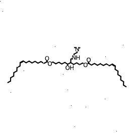 CCCCCCCC/C=C\CCCCCCCC(=O)OCCCCCC(O)C(CCCCOC(=O)CCCCCCC/C=C\CCCCCCCC)CNCCN(C)C